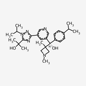 CC(C)c1ccc([C@](O)(c2cncc(-c3nc(C(C)(C)O)n(C(C)C)n3)c2)C2(C)CN(C)C2)cc1